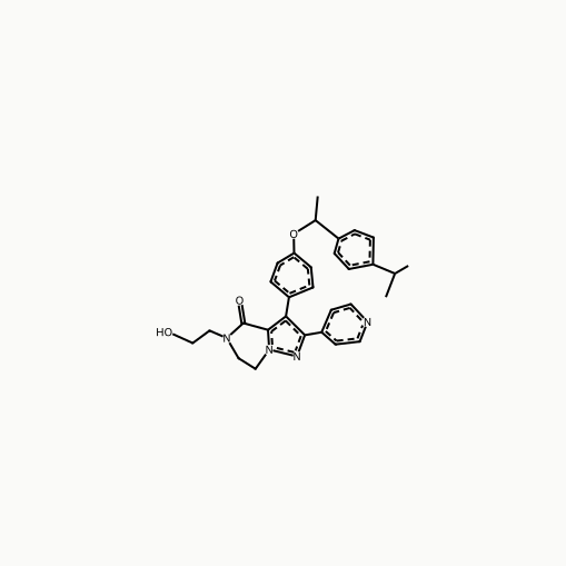 CC(C)c1ccc(C(C)Oc2ccc(-c3c(-c4ccncc4)nn4c3C(=O)N(CCO)CC4)cc2)cc1